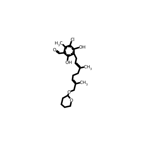 C/C(=C\Cc1c(O)c(Cl)c(C)c(C=O)c1O)CC/C=C(\C)COC1CCCCO1